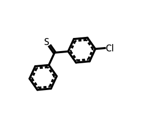 S=C(c1ccccc1)c1ccc(Cl)cc1